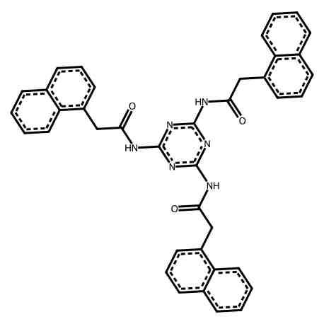 O=C(Cc1cccc2ccccc12)Nc1nc(NC(=O)Cc2cccc3ccccc23)nc(NC(=O)Cc2cccc3ccccc23)n1